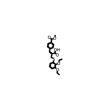 CCOc1cccc(SCC(=Cc2ccc(C(=O)OC)cc2)C(=O)O)c1OCC